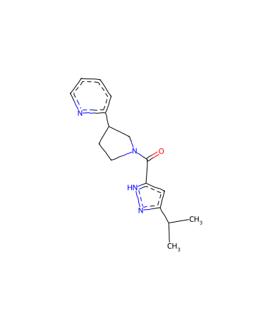 CC(C)c1cc(C(=O)N2CCC(c3ccccn3)C2)[nH]n1